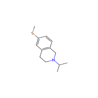 CSc1ccc2c(c1)CCN(C(C)C)C2